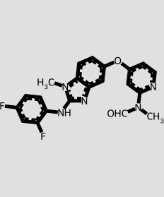 CN(C=O)c1cc(Oc2ccc3c(c2)nc(Nc2ccc(F)cc2F)n3C)ccn1